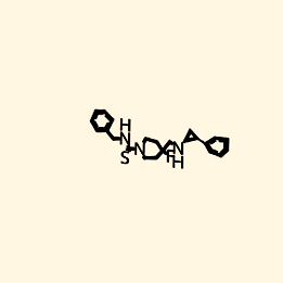 FC1(CN[C@@H]2C[C@H]2c2ccccc2)CCN(C(=S)NCc2ccccc2)CC1